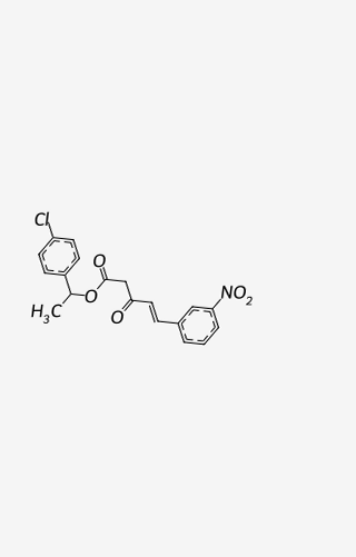 CC(OC(=O)CC(=O)C=Cc1cccc([N+](=O)[O-])c1)c1ccc(Cl)cc1